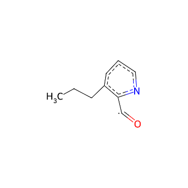 CCCc1cccnc1[C]=O